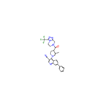 CC1CN(c2c(C#N)cnc3cc(-c4ccccc4)ccc23)CCC1C(=O)N1CCn2c(nnc2C(F)(F)F)C1